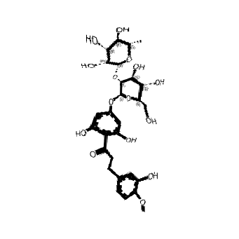 COc1ccc(CCC(=O)c2c(O)cc(O[C@@H]3O[C@H](CO)[C@@H](O)[C@H](O)[C@H]3O[C@H]3O[C@@H](C)[C@H](O)[C@@H](O)[C@H]3O)cc2O)cc1O